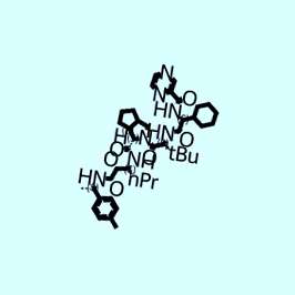 CCC[C@H](NC(=O)[C@@H]1[C@H]2CCCC2CN1C(=O)[C@@H](NC(=O)[C@@H](NC(=O)c1cnccn1)C1CCCCC1)C(C)(C)C)C(=O)C(=O)N[C@@H](C)c1ccc(C)cc1